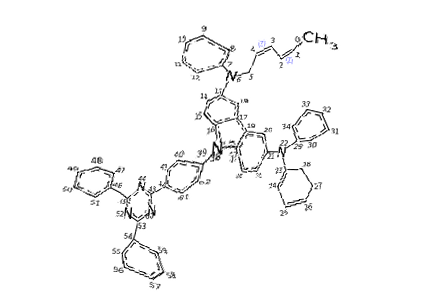 C/C=C\C=C/CN(c1ccccc1)c1ccc2c(c1)c1cc(N(C3=CC=CCC3)c3ccccc3)ccc1n2-c1ccc(-c2nc(-c3ccccc3)nc(-c3ccccc3)n2)cc1